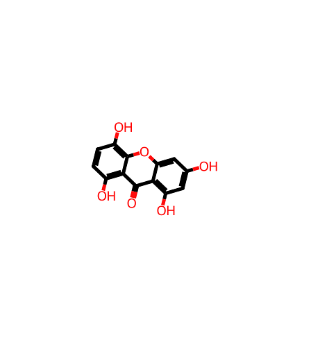 O=c1c2c(O)cc(O)cc2oc2c(O)ccc(O)c12